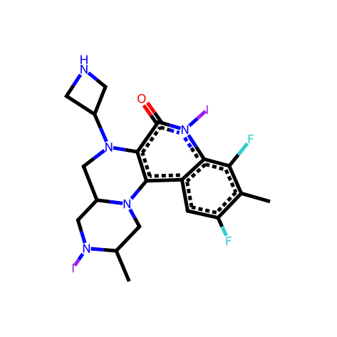 Cc1c(F)cc2c3c(c(=O)n(I)c2c1F)N(C1CNC1)CC1CN(I)C(C)CN31